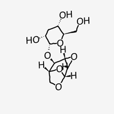 OC[C@H]1O[C@H](O[C@H]2[C@@H]3O[C@@H]3[C@@H]3OC[C@H]2O3)[C@H](O)C[C@@H]1O